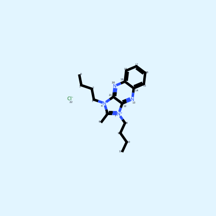 CCCCn1c(C)[n+](CCCC)c2nc3ccccc3nc21.[Cl-]